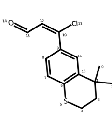 CC1(C)CCSc2ccc(/C(Cl)=C\C=O)cc21